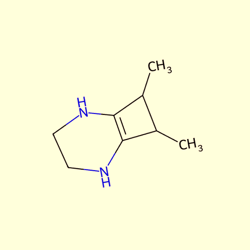 CC1C2=C(NCCN2)C1C